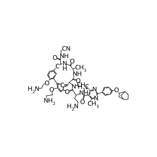 Cc1nc(-c2ccc(OC3CC4CCC3C4)cc2)nc(C)c1C(=O)NC(CCN)C(=O)N(C)C1C(=O)NC(C)C(=O)NC(C(=O)NCC#N)Cc2ccc(OCCN)c(c2)-c2cc1ccc2OCCN